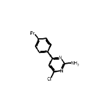 CC(C)c1ccc(-c2cc(Cl)nc(N)n2)cc1